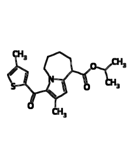 Cc1csc(C(=O)c2c(C)cc3n2CCCCC3C(=O)OC(C)C)c1